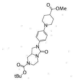 COC(=O)C1CCN(c2ccc(N3CC4CN(C(=O)OC(C)(C)C)CCN4C3=O)cc2)CC1